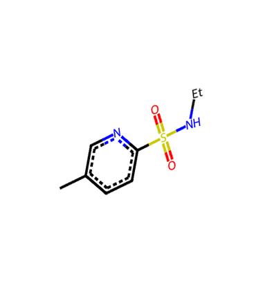 CCNS(=O)(=O)c1ccc(C)cn1